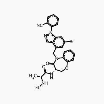 CCN[C@@H](C)C(=O)N[C@H]1COc2ccccc2N(Cc2cc(Br)cc3c2cnn3-c2ccccc2C#N)C1=O